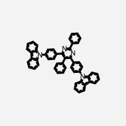 c1ccc(-c2nc(-c3ccc(-n4c5ccccc5c5ccccc54)cc3)c(-c3ccccc3)c(-c3ccc(-n4c5ccccc5c5ccccc54)cc3)n2)cc1